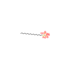 CCCCCCCCCCCCCCCCSC(P(=O)(O)O)P(=O)(O)O